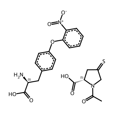 CC(=O)N1CC(=S)C[C@H]1C(=O)O.N[C@@H](Cc1ccc(Oc2ccccc2[N+](=O)[O-])cc1)C(=O)O